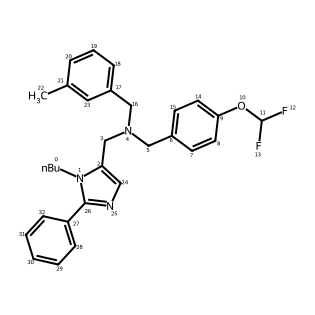 CCCCn1c(CN(Cc2ccc(OC(F)F)cc2)Cc2cccc(C)c2)cnc1-c1ccccc1